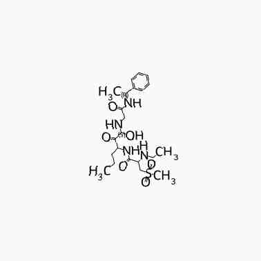 CCCC(NC(=O)C(CS(C)(=O)=O)NCC)C(=O)[C@H](O)NCC(=O)N[C@H](C)c1ccccc1